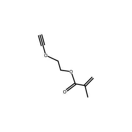 C#COCCOC(=O)C(=C)C